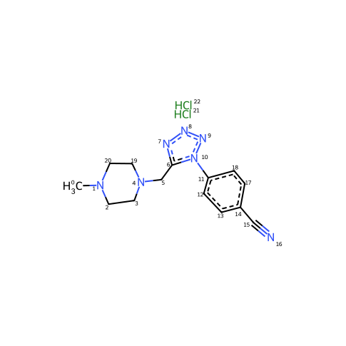 CN1CCN(Cc2nnnn2-c2ccc(C#N)cc2)CC1.Cl.Cl